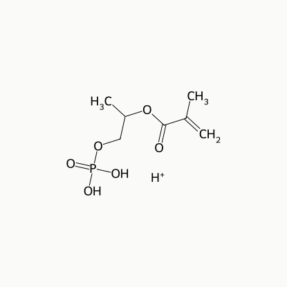 C=C(C)C(=O)OC(C)COP(=O)(O)O.[H+]